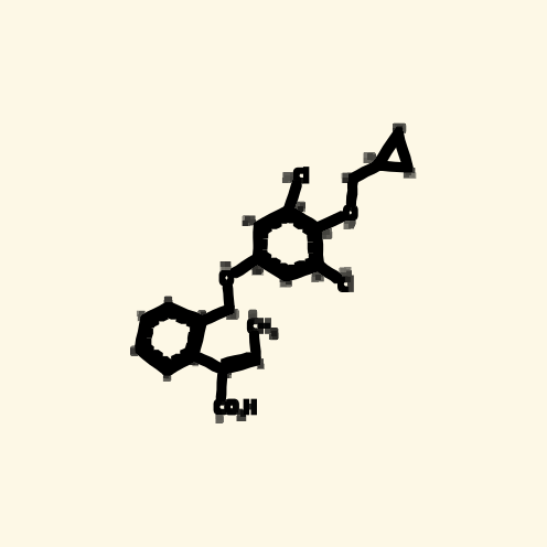 C/C=C(/C(=O)O)c1ccccc1COc1cc(Cl)c(OCC2CC2)c(Cl)c1